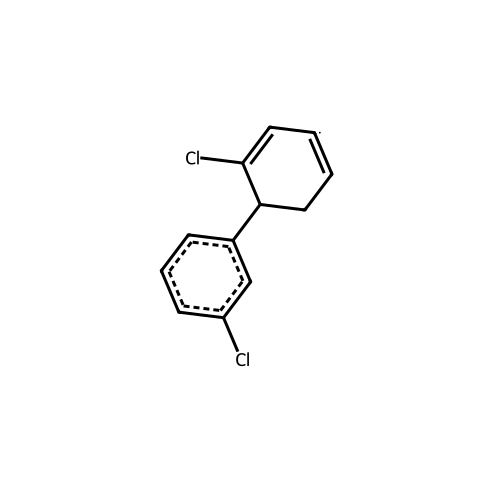 ClC1=C[C]=CCC1c1cccc(Cl)c1